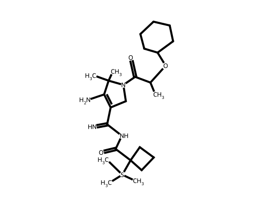 CC(OC1CCCCC1)C(=O)N1CC(C(=N)NC(=O)C2(S(C)(C)C)CCC2)=C(N)C1(C)C